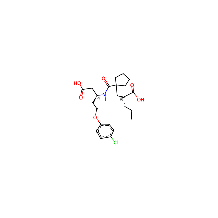 CCC[C@H](CC1(C(=O)N[C@@H](CCOc2ccc(Cl)cc2)CC(=O)O)CCCC1)C(=O)O